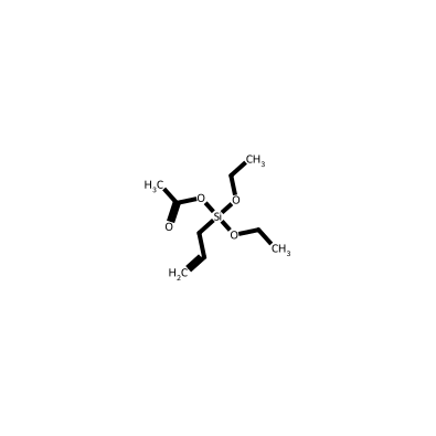 C=CC[Si](OCC)(OCC)OC(C)=O